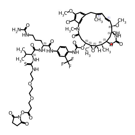 COc1cc2cc(c1Cl)N(C)C(=O)C[C@H](OC(=O)Nc1ccc(NC(=O)[C@H](CCCNC(N)=O)NC(=O)[C@@H](NC(=S)NCCOCCOCCC(=O)ON3C(=O)CCC3=O)C(C)C)cc1C(F)(F)F)[C@]1(C)O[C@H]1[C@H](C)[C@@H]1C[C@@](O)(NC(=O)O1)[C@H](OC)/C=C/C=C(\C)C2